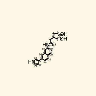 O=C(CC1CCS(O)(O)C1)Nc1cc2cc(-c3cn[nH]c3)ccc2cn1